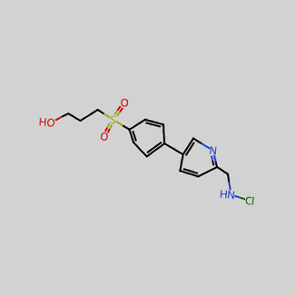 O=S(=O)(CCCO)c1ccc(-c2ccc(CNCl)nc2)cc1